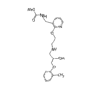 COC(=O)NCc1cccnc1OCCNCC(O)COc1ccccc1C